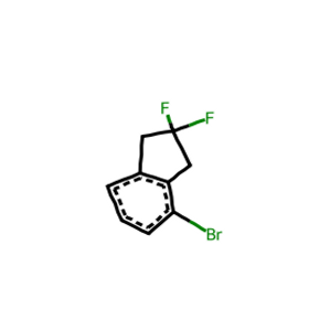 FC1(F)Cc2cccc(Br)c2C1